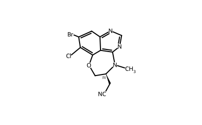 CN1c2ncnc3cc(Br)c(Cl)c(c23)OC[C@@H]1CC#N